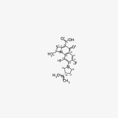 CC1Sc2c(C(=O)O)c(=O)c3cc(F)c(N4CC[C@H](N(C)C)C4)c(F)c3n21